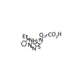 CC[C@@H](Nc1ncnc2sc3c(c12)CN(C(=O)/C=C/C(=O)O)C3)c1ccccc1